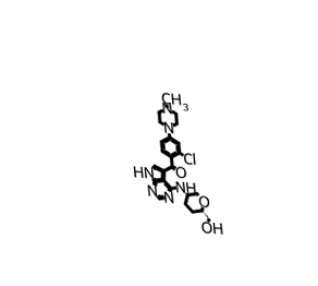 CN1CCN(c2ccc(C(=O)c3c[nH]c4ncnc(N[C@H]5CC[C@@H](CO)OC5)c34)c(Cl)c2)CC1